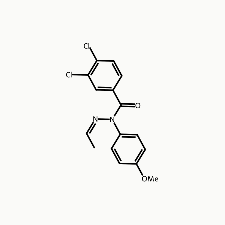 C/C=N\N(C(=O)c1ccc(Cl)c(Cl)c1)c1ccc(OC)cc1